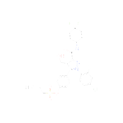 CCCS(=O)(=O)Oc1ccc(-c2c(CO)c(C(=O)NC3CCC(F)(F)CC3)nn2-c2ccc(Cl)cc2Cl)cc1